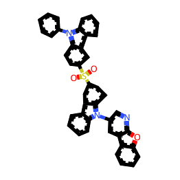 O=S(=O)(c1ccc2c(c1)c1ccccc1n2-c1ccccc1)c1ccc2c(c1)c1ccccc1n2-c1cnc2oc3ccccc3c2c1